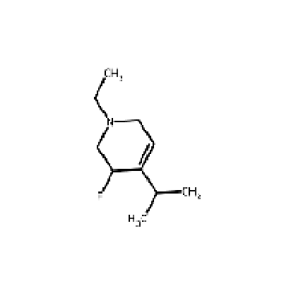 CCN1CC=C(C(C)C)C(F)C1